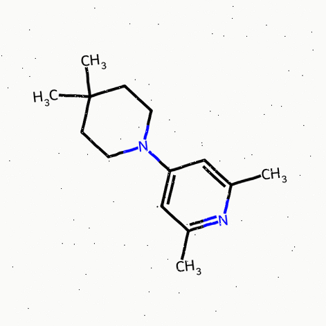 Cc1[c]c(N2CCC(C)(C)CC2)cc(C)n1